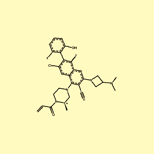 C=CC(=O)N1CCN(c2c(C#N)c(N3CC(N(C)C)C3)nc3c(F)c(-c4c(O)cccc4F)c(Cl)cc23)C[C@H]1C